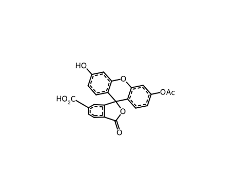 CC(=O)Oc1ccc2c(c1)Oc1cc(O)ccc1C21OC(=O)c2ccc(C(=O)O)cc21